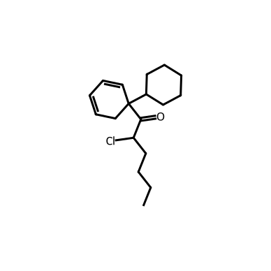 CCCCC(Cl)C(=O)C1(C2CCCCC2)C=CC=CC1